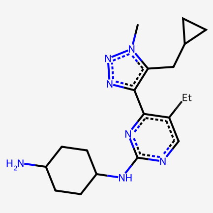 CCc1cnc(NC2CCC(N)CC2)nc1-c1nnn(C)c1CC1CC1